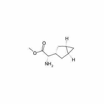 COC(=O)[C@@H](N)[C@@H]1C[C@H]2C[C@H]2C1